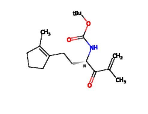 C=C(C)C(=O)[C@H](CCC1=C(C)CCC1)NC(=O)OC(C)(C)C